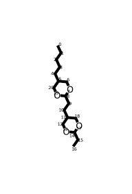 CCCCCC1COC(CCC2COC(CC)OC2)OC1